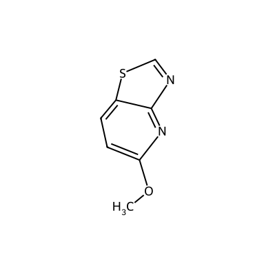 COc1ccc2scnc2n1